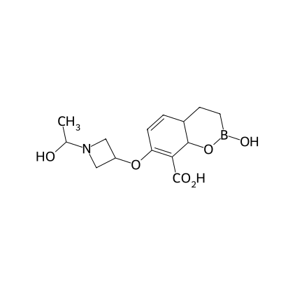 CC(O)N1CC(OC2=C(C(=O)O)C3OB(O)CCC3C=C2)C1